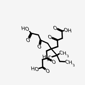 CCC(C)(C)C(CC(=O)CC(=O)O)(CC(=O)CC(=O)O)CC(=O)CC(=O)O